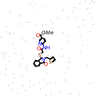 COC(=O)c1ccc(NC(=O)CSC2c3ccccc3C(=O)N2Cc2cccs2)nc1